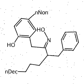 CCCCCCCCCCCCCC(Cc1ccccc1)C(Cc1cc(CCCCCCCCC)ccc1O)=NO